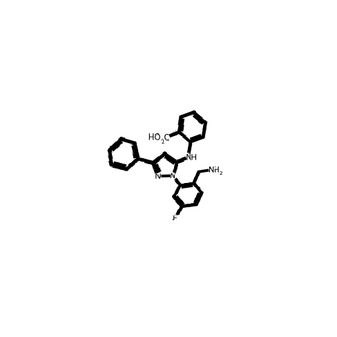 NCc1ccc(F)cc1-n1nc(-c2ccccc2)cc1Nc1ccccc1C(=O)O